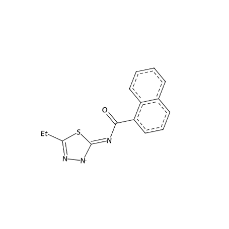 CCC1=N[N]C(=NC(=O)c2cccc3ccccc23)S1